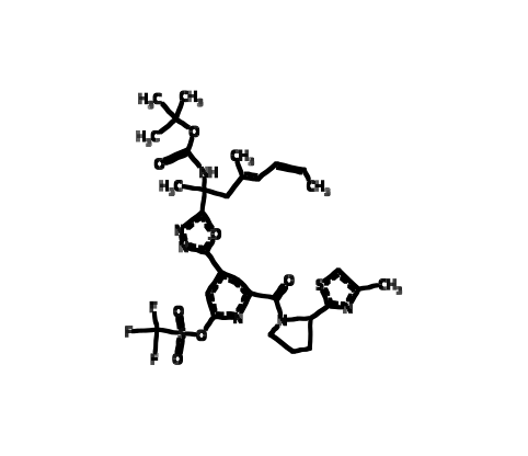 C/C=C\C=C(/C)CC(C)(NC(=O)OC(C)(C)C)c1nnc(-c2cc(OS(=O)(=O)C(F)(F)F)nc(C(=O)N3CCCC3c3nc(C)cs3)c2)o1